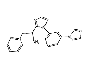 NC(Cc1ccccc1)c1nccn1-c1cccc(-n2cccc2)c1